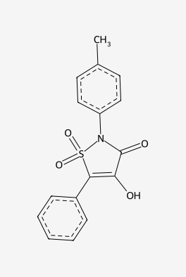 Cc1ccc(N2C(=O)C(O)=C(c3ccccc3)S2(=O)=O)cc1